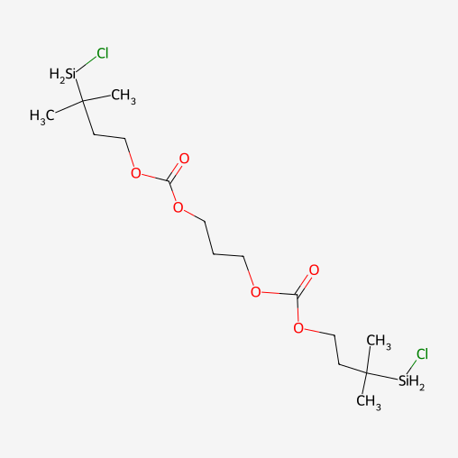 CC(C)(CCOC(=O)OCCCOC(=O)OCCC(C)(C)[SiH2]Cl)[SiH2]Cl